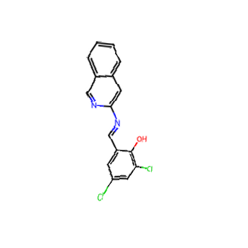 Oc1c(Cl)cc(Cl)cc1/C=N/c1cc2ccccc2cn1